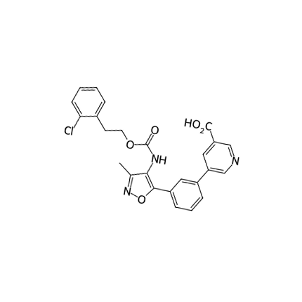 Cc1noc(-c2cccc(-c3cncc(C(=O)O)c3)c2)c1NC(=O)OCCc1ccccc1Cl